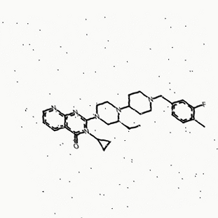 CC[C@H]1CN(c2nc3ncccc3c(=O)n2C2CC2)CCN1C1CCN(Cc2ccc(C)c(F)c2)CC1